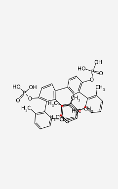 Cc1cccc(C)c1-c1c(OP(=O)(O)O)ccc(-c2ccc(OP(=O)(O)O)c(-c3c(C)cccc3C)c2-c2c(C)cccc2C)c1-c1c(C)cccc1C